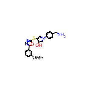 COc1cccc(-c2nnc(Sc3cn(-c4ccc(CN)cc4)cc3O)o2)c1